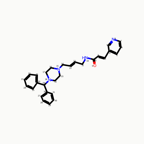 O=C(/C=C/c1cccnc1)NC/C=C/CN1CCN(C(c2ccccc2)c2ccccc2)CC1